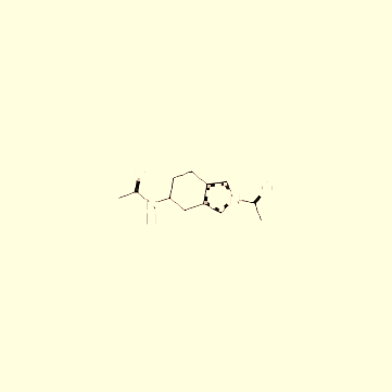 CC(=O)NC1CCc2cn(C(C)=O)cc2C1